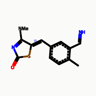 CNC1=NC(=O)S/C1=C\c1ccc(C)c(C=N)c1